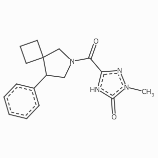 Cn1nc(C(=O)N2CC(c3ccccc3)C3(CCC3)C2)[nH]c1=O